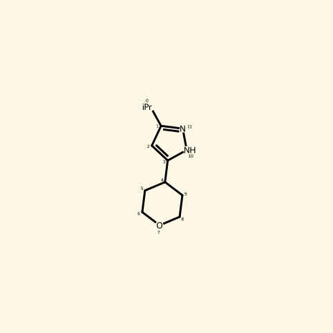 CC(C)c1cc(C2CCOCC2)[nH]n1